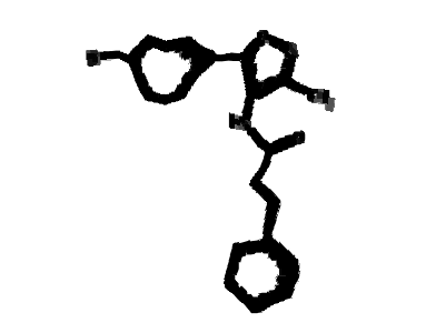 Cc1noc(-c2ccc(Br)cc2)c1NC(=O)CCc1ccccc1